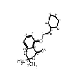 CC1(C)OC(=O)c2c(OCCC3CCCCC3)cccc2O1